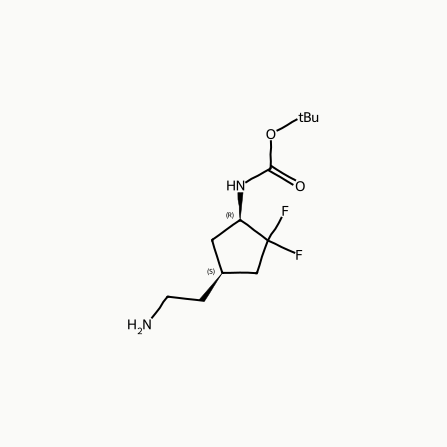 CC(C)(C)OC(=O)N[C@@H]1C[C@H](CCN)CC1(F)F